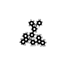 c1ccc(-n2c3ccccc3c3cc(-c4ccc(N(c5cccc(-c6cc7ccccc7c7ccccc67)c5)c5cc6ccccc6c6ccccc56)cc4)ccc32)cc1